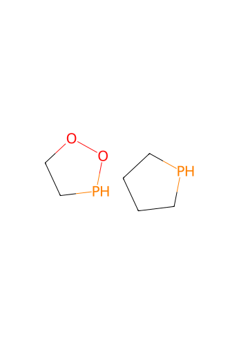 C1CCPC1.C1CPOO1